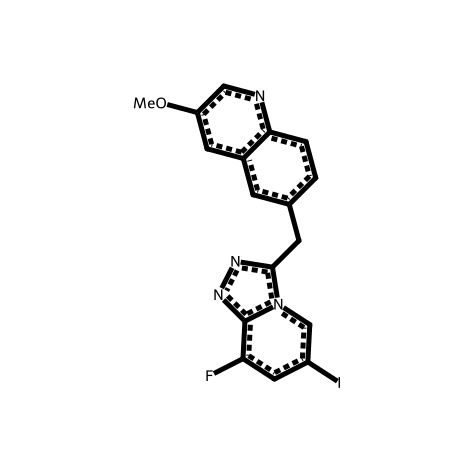 COc1cnc2ccc(Cc3nnc4c(F)cc(I)cn34)cc2c1